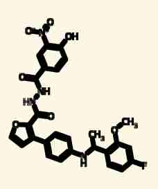 COc1cc(F)ccc1C(C)Nc1ccc(-c2ccoc2C(=O)NNC(=O)c2ccc(O)c([N+](=O)[O-])c2)cc1